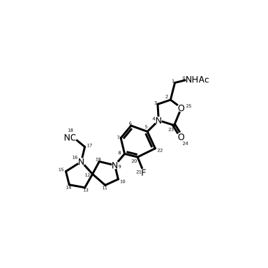 CC(=O)NCC1CN(c2ccc(N3CCC4(CCCN4CC#N)C3)c(F)c2)C(=O)O1